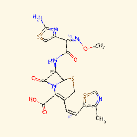 CO/N=C(\C(=O)N[C@@H]1C(=O)N2C(C(=O)O)=C(/C=C\c3scnc3C)CSC12)c1csc(N)n1